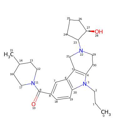 CCCn1c2c(c3cc(C(=O)N4CCC(C)CC4)ccc31)CN(C1CCC[C@H]1O)CC2